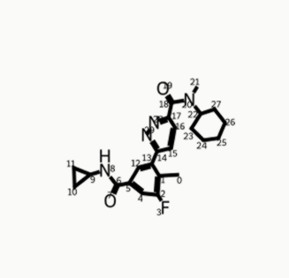 Cc1c(F)cc(C(=O)NC2CC2)cc1-c1ccc(C(=O)N(C)C2CCCCC2)nn1